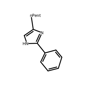 CCCCCc1c[nH]c(-c2ccccc2)n1